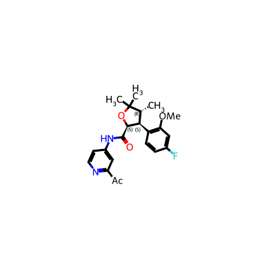 COc1cc(F)ccc1[C@H]1[C@@H](C(=O)Nc2ccnc(C(C)=O)c2)OC(C)(C)[C@@H]1C